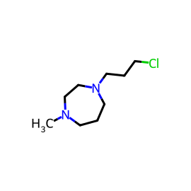 CN1CCCN(CCCCl)CC1